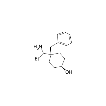 CCC(N)[C@]1(Cc2ccccc2)CC[C@@H](O)CC1